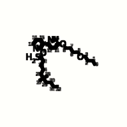 CCCCOCCCCOc1ccc(-c2cccnc2O[SiH2]CCCCC(C)(C)CCCC)nn1